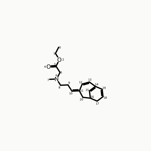 CCOC(=O)CN(C)CCC=C1C=CC2=CC(CC=C2)C1